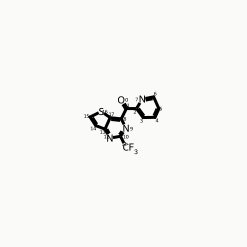 O=C(c1ccccn1)c1nc(C(F)(F)F)nc2ccsc12